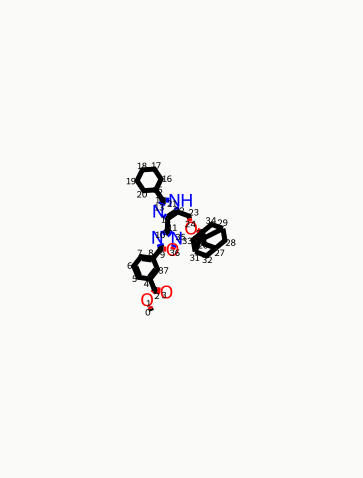 COC(=O)c1cccc(-c2nc(-c3nc(C4CCCCC4)[nH]c3COC34CC5CC(CC(C5)C3)C4)no2)c1